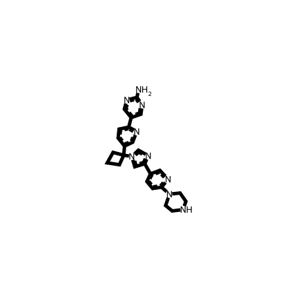 Nc1ncc(-c2ccc(C3(n4cnc(-c5ccc(N6CCNCC6)nc5)c4)CCC3)cn2)cn1